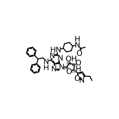 CCc1cc([C@H]2O[C@@H](n3cnc4c(NCC(c5ccccc5)c5ccccc5)nc(NC5CCC(NC(C)=O)CC5)nc43)[C@H](O)[C@@H]2O)on1